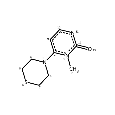 Cn1c(N2CCSCC2)ccnc1=O